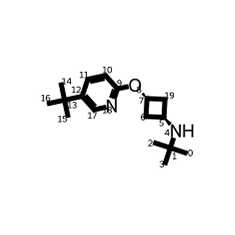 CC(C)(C)N[C@H]1C[C@H](Oc2ccc(C(C)(C)C)cn2)C1